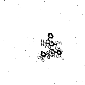 Cc1cccc(C)c1-c1cc(OC2CC(CO)CN(Cc3ccccc3)C2(C)C)nc(NS(=O)(=O)c2cccc([N+](=O)[O-])c2)n1